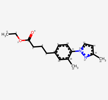 CCOC(=O)CCCc1ccc(-n2ccc(C)n2)c(C)c1